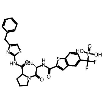 CC(C)(C)[C@H](NC(=O)c1cc2cc(C(F)(F)P(=O)(O)O)ccc2s1)C(=O)N1CCC[C@H]1C(=O)Nc1nc(Cc2ccccc2)cs1